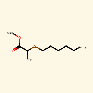 CCCCOC(=O)C(CCC)SCCCCCC(F)(F)F